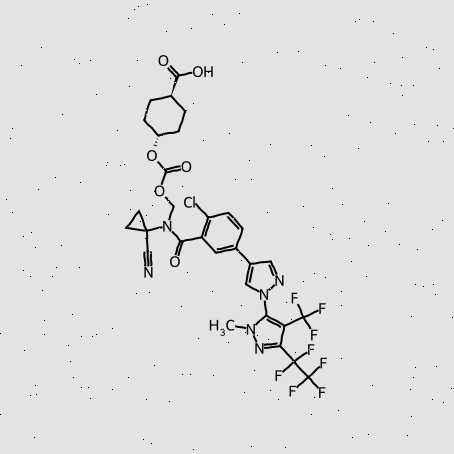 Cn1nc(C(F)(F)C(F)(F)F)c(C(F)(F)F)c1-n1cc(-c2ccc(Cl)c(C(=O)N(COC(=O)O[C@H]3CC[C@H](C(=O)O)CC3)C3(C#N)CC3)c2)cn1